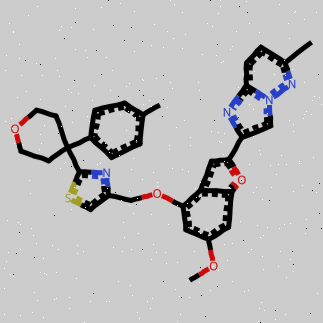 COc1cc(OCc2csc(C3(c4ccc(C)cc4)CCOCC3)n2)c2cc(-c3cn4nc(C)ccc4n3)oc2c1